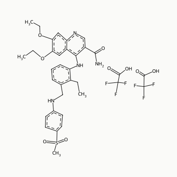 CCOc1cc2ncc(C(N)=O)c(Nc3cccc(CNc4ccc(S(C)(=O)=O)cc4)c3CC)c2cc1OCC.O=C(O)C(F)(F)F.O=C(O)C(F)(F)F